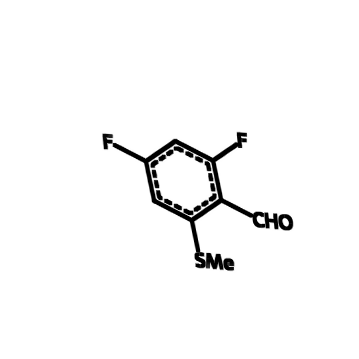 CSc1cc(F)cc(F)c1C=O